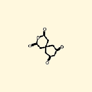 O=C1CC(=O)CC2(C1)CC(=O)OC(=O)C2